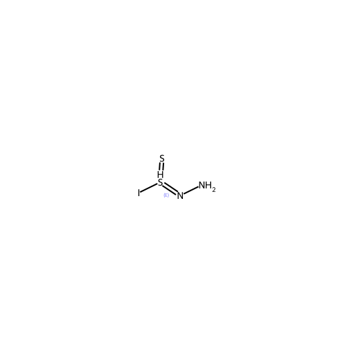 N/N=[SH](=S)/I